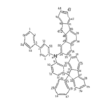 c1ccc(-c2ccc(N(c3cccc(C4(c5ccccc5)c5ccccc5-c5ccccc54)c3)c3ccc4ccc5c6ccccc6sc5c4c3)cc2)cc1